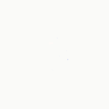 Cc1cc(C)cc(-c2nc(N[C@H](C)CCN)ncc2C(N)=O)c1